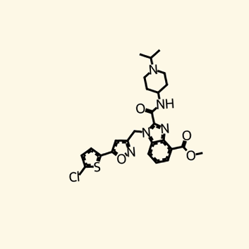 COC(=O)c1cccc2c1nc(C(=O)NC1CCN(C(C)C)CC1)n2Cc1cc(-c2ccc(Cl)s2)on1